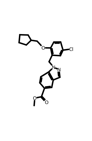 COC(=O)c1ccc2c(cnn2Cc2cc(Cl)ccc2OCC2CCCC2)c1